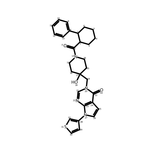 O=C(C1CCCCC1c1ccccc1)N1CCC(O)(Cn2cnc3c(ccn3-c3ccsc3)c2=O)CC1